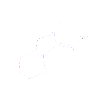 CN1CC2OCCON2C1=N[N+](=O)[O-]